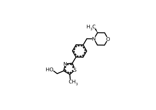 Cc1sc(-c2ccc(CN3CCOC[C@@H]3C)cc2)nc1CO